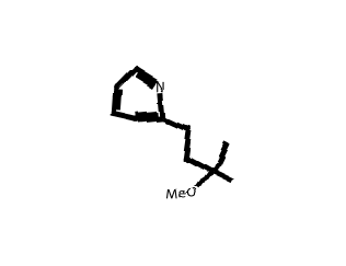 COC(C)(C)CCc1ccccn1